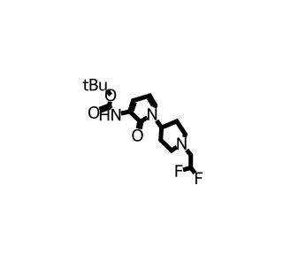 CC(C)(C)OC(=O)Nc1cccn(C2CCN(CC(F)F)CC2)c1=O